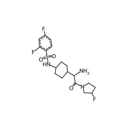 NC(C(=O)N1CCC(F)C1)C1CCC(NS(=O)(=O)c2ccc(F)cc2F)CC1